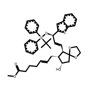 COC(=O)CCC/C=C/C[C@@H]1[C@@H](/C=C/[C@@H](O[Si](c2ccccc2)(c2ccccc2)C(C)(C)C)c2cc3ccccc3s2)C2(C[C@@H]1O)OCCO2